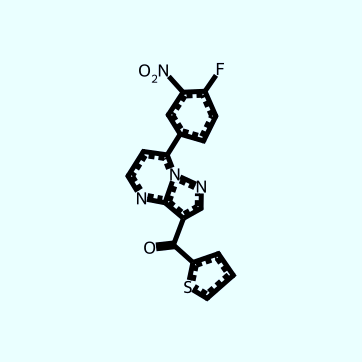 O=C(c1cccs1)c1cnn2c(-c3ccc(F)c([N+](=O)[O-])c3)ccnc12